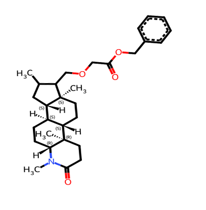 CC1C[C@H]2[C@@H]3CC[C@H]4N(C)C(=O)CC[C@]4(C)[C@H]3CC[C@]2(C)C1COCC(=O)OCc1ccccc1